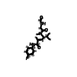 C/C(=C\[C@H](C(C)C)N(C)C(=O)CNC=O)C(=O)Nc1ccc(F)cc1